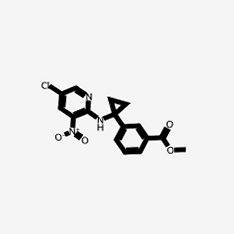 COC(=O)c1cccc(C2(Nc3ncc(Cl)cc3[N+](=O)[O-])CC2)c1